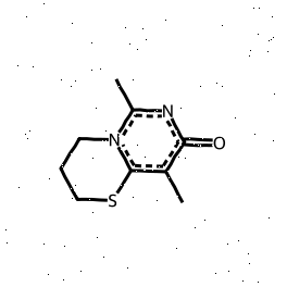 Cc1c2n(c(C)nc1=O)CCCS2